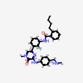 CCCCc1ccccc1C(=O)Nc1cccc(-c2cn(C)c(=O)c(Nc3ccc(CNC)cc3)n2)c1F